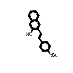 CC(C)(C)c1ccc(C=Cc2cc3ccccc3cc2C#N)cc1